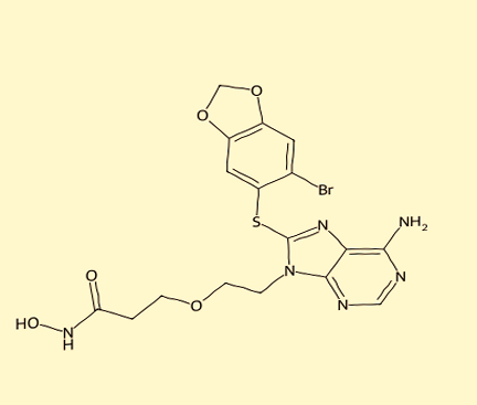 Nc1ncnc2c1nc(Sc1cc3c(cc1Br)OCO3)n2CCOCCC(=O)NO